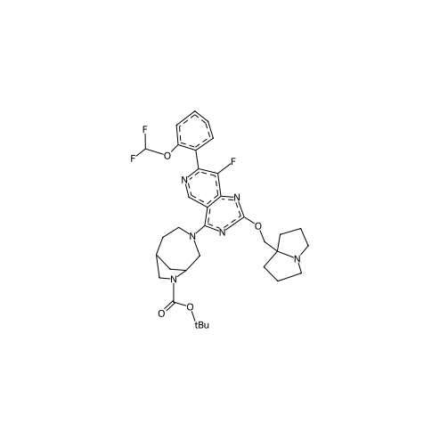 CC(C)(C)OC(=O)N1CC2CCN(c3nc(OCC45CCCN4CCC5)nc4c(F)c(-c5ccccc5OC(F)F)ncc34)CC1C2